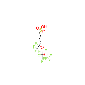 O=S(=O)(O)CCCCC(F)(OC(F)(F)C(F)(OC(F)(F)F)C(F)(F)F)C(F)(F)F